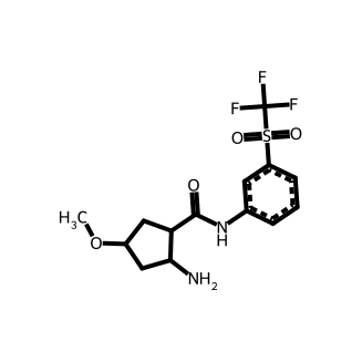 COC1CC(N)C(C(=O)Nc2cccc(S(=O)(=O)C(F)(F)F)c2)C1